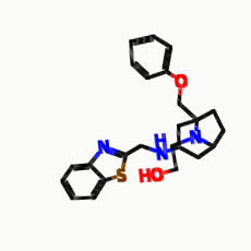 OCCN1C2CCC1(COc1ccccc1)CC(NCc1nc3ccccc3s1)C2